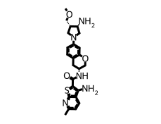 COC[C@H]1CN(c2ccc3c(c2)OC[C@H](NC(=O)c2sc4nc(C)ccc4c2N)C3)C[C@H]1N